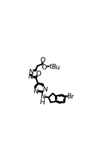 CC(C)(C)OC(=O)Cc1nnc(-c2cnc(NC3Cc4ccc(Br)cc4C3)nc2)o1